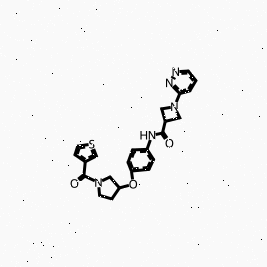 O=C(Nc1ccc(OC2CCN(C(=O)c3ccsc3)C2)cc1)C1CN(c2cccnn2)C1